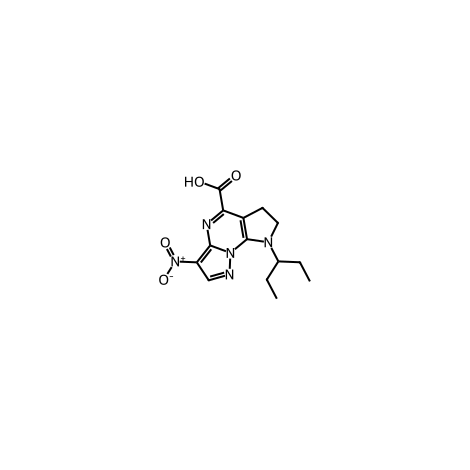 CCC(CC)N1CCc2c(C(=O)O)nc3c([N+](=O)[O-])cnn3c21